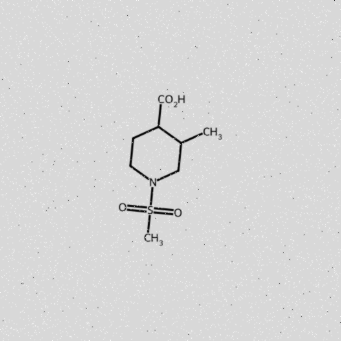 CC1CN(S(C)(=O)=O)CCC1C(=O)O